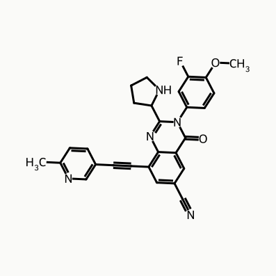 COc1ccc(-n2c(C3CCCN3)nc3c(C#Cc4ccc(C)nc4)cc(C#N)cc3c2=O)cc1F